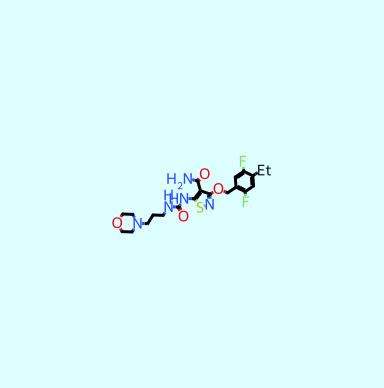 CCc1cc(F)c(COc2nsc(NC(=O)NCCCN3CCOCC3)c2C(N)=O)cc1F